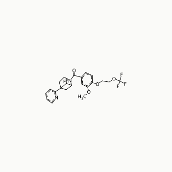 COc1cc(C(=O)N2CCC3(c4ccccn4)CC2C3(F)F)ccc1OCCOC(F)(F)F